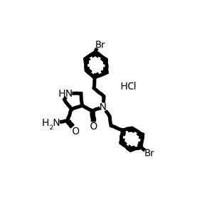 Cl.NC(=O)C1CNCC1C(=O)N(CCc1ccc(Br)cc1)CCc1ccc(Br)cc1